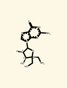 NC[C@]1(CO)OC(n2cnc3c(=O)[nH]c(N)nc32)[C@H](F)[C@@H]1O